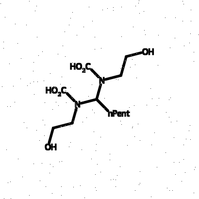 CCCCCC(N(CCO)C(=O)O)N(CCO)C(=O)O